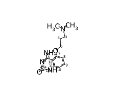 CN(C)CCCOc1cccc2c1C(N)=N[S+]([O-])N2